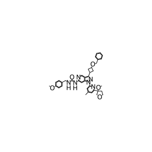 COc1ccc(CNC(=O)Nc2cc3c(cn2)c(C2CC(OCc4ccccc4)C2)nn3-c2cc(C)cc([C@]3(OC)CCOC3)n2)cc1